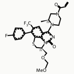 C=CC(=O)N1CCN(c2nc(=O)n3c4c(c(-c5ccc(F)cc5)c(C(F)(F)F)cc24)SC[C@@H]3COCOC)[C@@H](C)C1